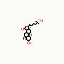 C[C@H](CCCC(C)(C)O)[C@H]1CC(=O)C2=C3CC[C@H]4CC(O)CC[C@]4(C)[C@H]3CC[C@@]21C